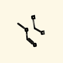 COC=O.ClCCl